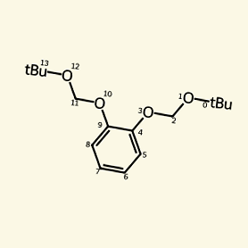 CC(C)(C)OCOc1ccccc1OCOC(C)(C)C